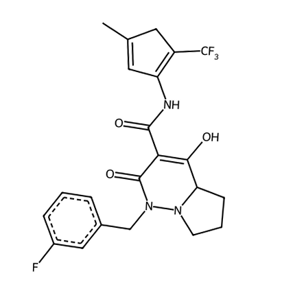 CC1=CC(NC(=O)C2=C(O)C3CCCN3N(Cc3cccc(F)c3)C2=O)=C(C(F)(F)F)C1